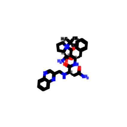 CC(C)(C)[N+]1(C(=O)[C@@H](O)[C@H](Cc2ccccc2)NC(=O)[C@H](CC(N)=O)NCc2cnc3ccccc3n2)CCC[C@H]1C(N)=O